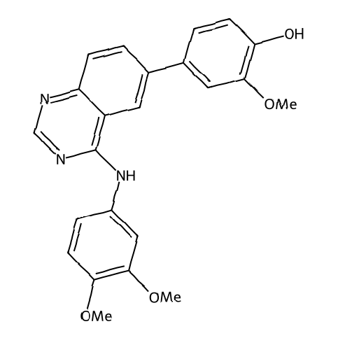 COc1cc(-c2ccc3ncnc(Nc4ccc(OC)c(OC)c4)c3c2)ccc1O